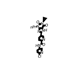 CCCn1c(=O)n(C2CC2)c(=O)c2[nH]c(-c3ccc(C(=O)Nc4ccc(Cl)nc4)nc3)nc21